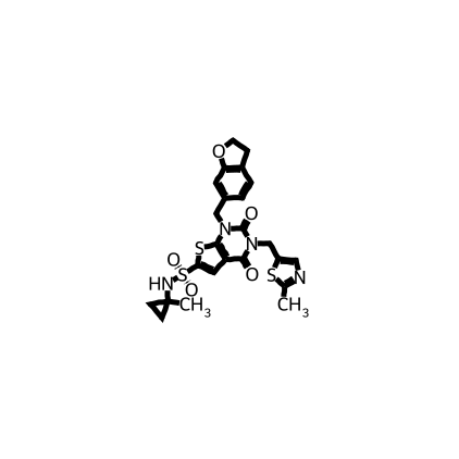 Cc1ncc(Cn2c(=O)c3cc(S(=O)(=O)NC4(C)CC4)sc3n(Cc3ccc4c(c3)OCC4)c2=O)s1